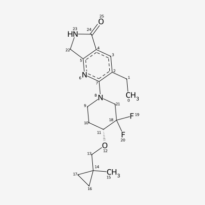 CCc1cc2c(nc1N1CC[C@@H](OCC3(C)CC3)C(F)(F)C1)CNC2=O